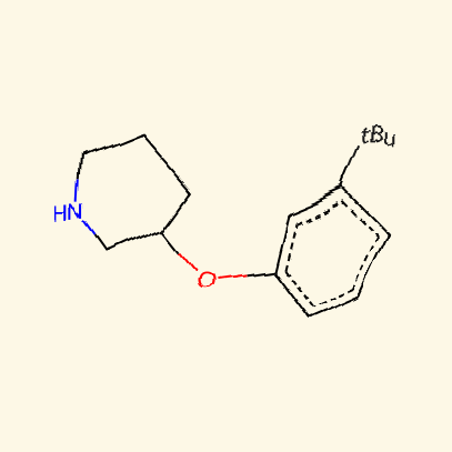 CC(C)(C)c1cccc(OC2CCCNC2)c1